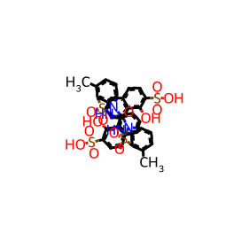 Cc1ccc2c(NC(=O)Nc3c4ccc(C)c3S(=O)(=O)N4c3cccc4ccc(S(=O)(=O)O)c(O)c34)c1S(=O)(=O)N2c1cccc2ccc(S(=O)(=O)O)c(O)c12